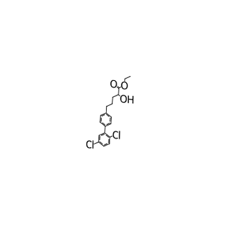 CCOC(=O)C(O)CCCc1ccc(-c2cc(Cl)ccc2Cl)cc1